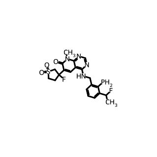 CC(F)c1cccc(CNc2ncnc3c2cc(C2(F)CCS(=O)(=O)C2)c(=O)n3C)c1P